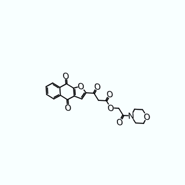 O=C(CC(=O)c1cc2c(o1)C(=O)c1ccccc1C2=O)OCC(=O)N1CCOCC1